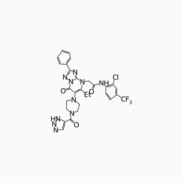 CCc1c(N2CCN(C(=O)c3cnn[nH]3)CC2)c(=O)n2nc(-c3ccccc3)nc2n1CC(=O)Nc1ccc(C(F)(F)F)cc1Cl